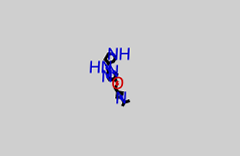 CC(C)N1CC(COc2cnc(NC3CCNCC3)nc2)C1